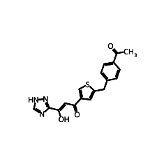 CC(=O)c1ccc(Cc2cc(C(=O)C=C(O)c3nc[nH]n3)cs2)cc1